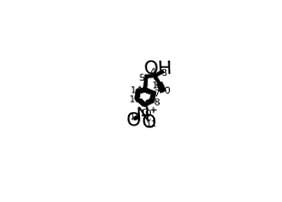 C#CC(C)(O)Cc1ccc([N+](=O)[O-])cc1